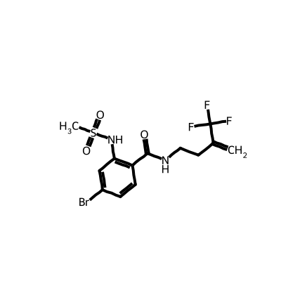 C=C(CCNC(=O)c1ccc(Br)cc1NS(C)(=O)=O)C(F)(F)F